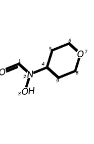 O=CN(O)C1CCOCC1